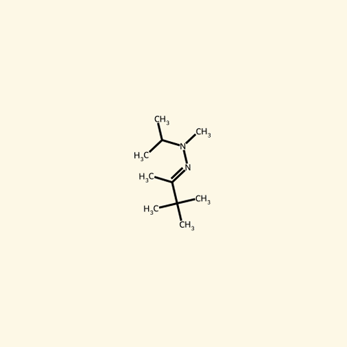 C/C(=N\N(C)C(C)C)C(C)(C)C